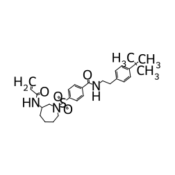 C=CC(=O)NC1CCCCN(S(=O)(=O)c2ccc(C(=O)NCCc3ccc(C(C)(C)C)cc3)cc2)C1